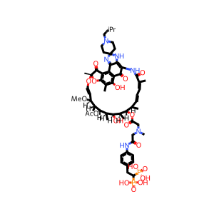 CO[C@H]1/C=C/O[C@@]2(C)Oc3c(C)c(O)c4c(c3C2=O)C2=NC3(CCN(CC(C)C)CC3)NC2=C(NC(=O)/C(C)=C\C=C\[C@H](C)[C@H](OC(=O)CN(C)CC(=O)Nc2ccc(CC(P(=O)(O)O)P(=O)(O)O)cc2)[C@@H](C)[C@@H](O)[C@@H](C)[C@H](OC(C)=O)[C@@H]1C)C4=O